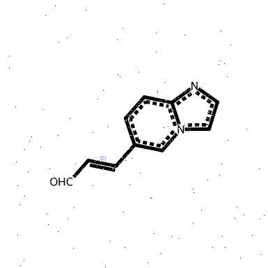 O=C/C=C/c1ccc2nccn2c1